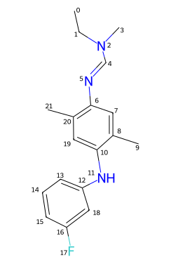 CCN(C)C=Nc1cc(C)c(Nc2cccc(F)c2)cc1C